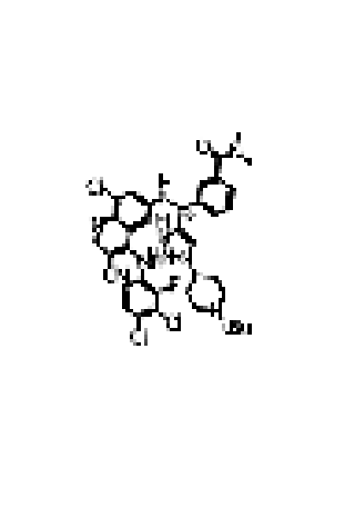 CN(C)C(=O)c1cccc([C@H](Nc2cc(Cl)c3ncc(C#N)c(Nc4ccc(Cl)c(Cl)c4F)c3c2)C2=CN(C3CCN(C(C)(C)C)CC3)NN2)c1